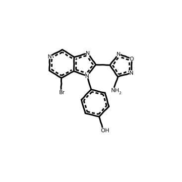 Nc1nonc1-c1nc2cncc(Br)c2n1-c1ccc(O)cc1